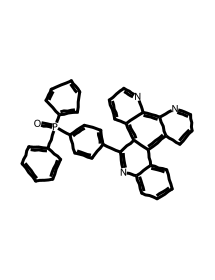 O=P(c1ccccc1)(c1ccccc1)c1ccc(-c2nc3ccccc3c3c4cccnc4c4ncccc4c23)cc1